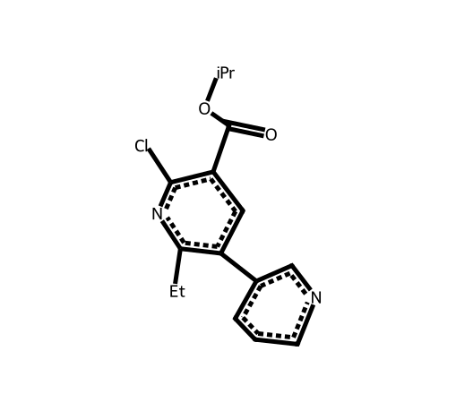 CCc1nc(Cl)c(C(=O)OC(C)C)cc1-c1cccnc1